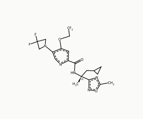 Cc1nc([C@@](C)(CC2CC2)NC(=O)c2cc(OCC(F)(F)F)c(N3CC(F)(F)C3)cn2)no1